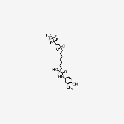 C[C@](O)(CCCCCCCS(=O)(=O)CCC(F)(F)C(F)(F)C(F)(F)F)C(=O)Nc1ccc(C#N)c(C(F)(F)F)c1